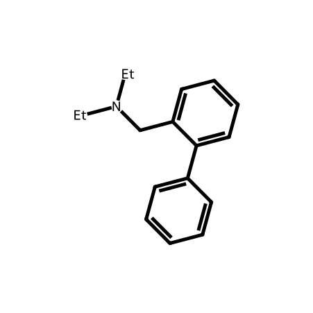 CCN(CC)Cc1ccccc1-c1ccccc1